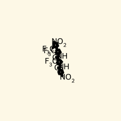 O=C(Nc1ccc(C(=O)Nc2ccc(-c3ccc([N+](=O)[O-])cc3C(F)(F)F)c(C(F)(F)F)c2)c(C(F)(F)F)c1)c1ccc([N+](=O)[O-])cc1